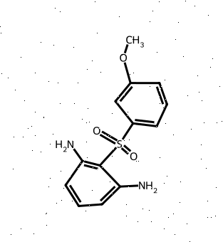 COc1cccc(S(=O)(=O)c2c(N)cccc2N)c1